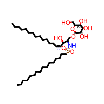 CCCCCCCCCCCCC/C=C\C(O)C(CO[C@@H]1OC(CO)[C@@H](O)C(O)[C@@H]1O)NS(=O)(=O)CCCCCCCCCCCCCCCC